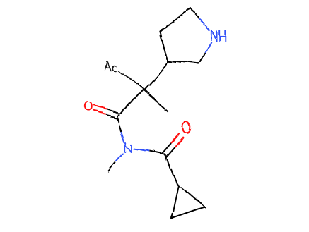 CC(=O)C(C)(C(=O)N(C)C(=O)C1CC1)C1CCNC1